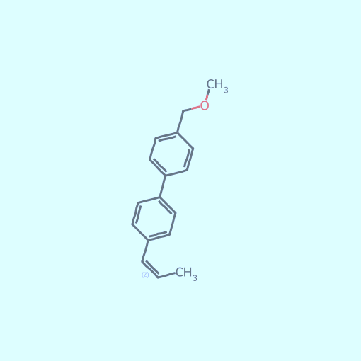 C/C=C\c1ccc(-c2ccc(COC)cc2)cc1